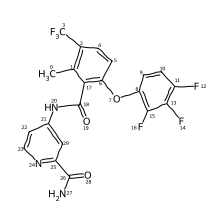 Cc1c(C(F)(F)F)ccc(Oc2ccc(F)c(F)c2F)c1C(=O)Nc1ccnc(C(N)=O)c1